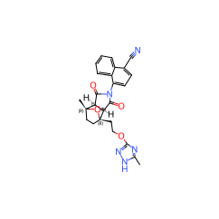 Cc1nc(OCC[C@@]23CC[C@@](C)(O2)[C@H]2C(=O)N(c4ccc(C#N)c5ccccc45)C(=O)[C@H]23)n[nH]1